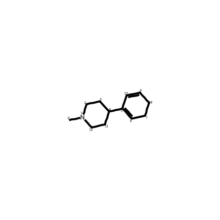 CN1CCC(C2=CC[CH]C=C2)CC1